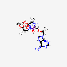 CCCCCCCOC(=O)[C@H](C)N[P@@](=O)(CO[C@H](C)Cn1cnc2c(N)ncnc21)NC[C@H](C)C(=O)OC(C)C